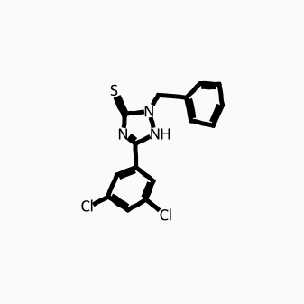 S=c1nc(-c2cc(Cl)cc(Cl)c2)[nH]n1Cc1ccccc1